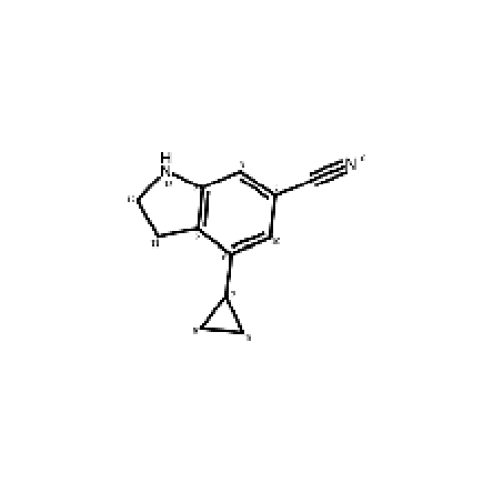 N#Cc1cc2c(c(C3CC3)c1)CCN2